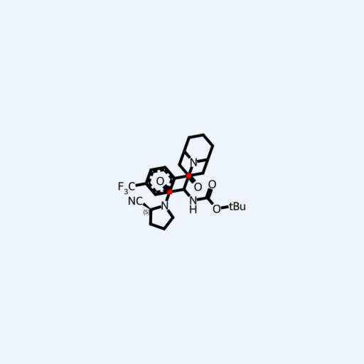 CC(C)(C)OC(=O)NC(C(=O)N1CCC[C@H]1C#N)C1CC2CCCC(C1)N2C(=O)c1ccc(C(F)(F)F)cc1